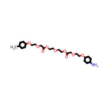 Cc1ccc(OCCOCC(=O)OCCOCCOC(=O)COCCOc2ccc(N)cc2)cc1